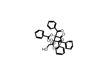 O=C(O[C@@](C(=O)C(=O)c1ccccc1)(C(=O)c1ccccc1)[C@](O)(C(=O)c1ccccc1)[C@@H](O)CO)c1ccccc1